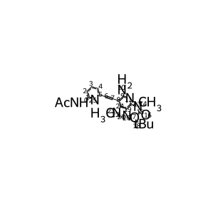 CC(=O)Nc1cccc(C#Cc2c(N)nc(N(C)C(=O)OC(C)(C)C)c3ncn(C)c23)n1